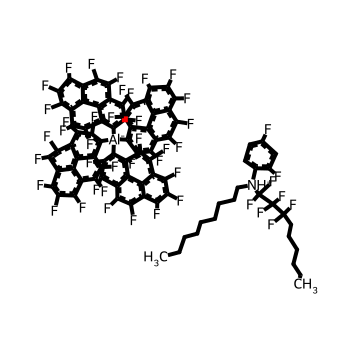 CCCCCCCCC[NH+](c1ccc(F)cc1F)C(F)(F)C(F)(F)C(F)(F)CCCCCC.Fc1c(F)c2c(F)c(F)c3c(F)c(F)[c]([Al-]([c]4c(F)c(F)c5c(F)c(F)c6c(F)c(F)c(F)c7c(F)c(F)c4c5c67)([c]4c(F)c(F)c5c(F)c(F)c6c(F)c(F)c(F)c7c(F)c(F)c4c5c67)[c]4c(F)c(F)c5c(F)c(F)c6c(F)c(F)c(F)c7c(F)c(F)c4c5c67)c4c(F)c(F)c(c1F)c2c34